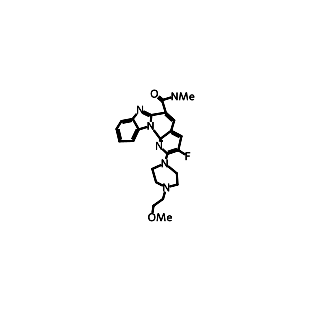 CNC(=O)c1cc2cc(F)c(N3CCN(CCOC)CC3)nc2n2c1nc1ccccc12